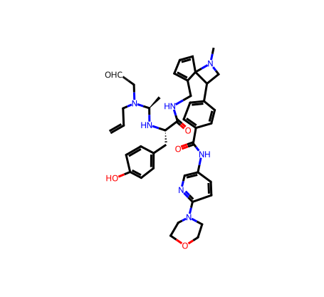 C=CCN(CC=O)[C@@H](C)N[C@@H](Cc1ccc(O)cc1)C(=O)NCC1=CC=CC12C(c1ccc(C(=O)Nc3ccc(N4CCOCC4)nc3)cc1)CN2C